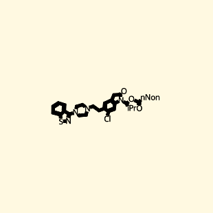 CCCCCCCCCC(=O)OC(C(C)C)N1C(=O)Cc2cc(CCN3CCN(c4nsc5ccccc45)CC3)c(Cl)cc21